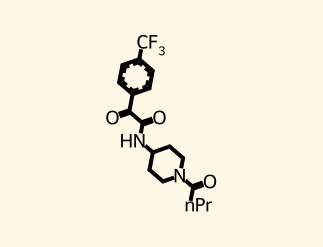 CCCC(=O)N1CCC(NC(=O)C(=O)c2ccc(C(F)(F)F)cc2)CC1